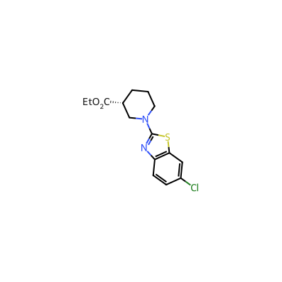 CCOC(=O)[C@@H]1CCCN(c2nc3ccc(Cl)cc3s2)C1